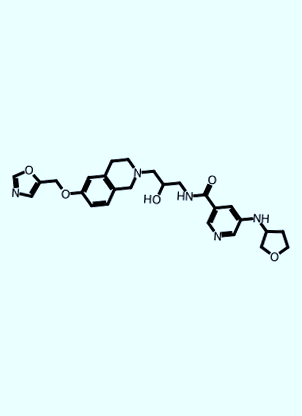 O=C(NCC(O)CN1CCc2cc(OCc3cnco3)ccc2C1)c1cncc(NC2CCOC2)c1